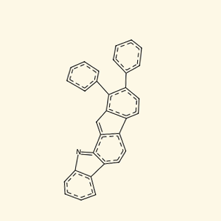 C1=c2c(ccc3c2=Nc2ccccc2-3)-c2ccc(-c3ccccc3)c(-c3ccccc3)c21